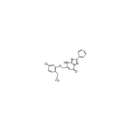 O=c1cc(COc2cc(Cl)ccc2CC2CC2)[nH]c2nc(-c3ccccc3)nn12